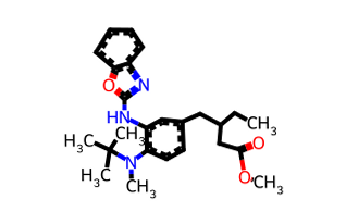 CCC(CC(=O)OC)Cc1ccc(N(C)C(C)(C)C)c(Nc2nc3ccccc3o2)c1